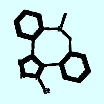 CCn1nnc2c1-c1ccccc1CN(C)c1ccccc1-2